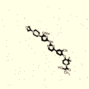 COc1nc(Nc2nccc(-c3ccc(OC4CCN(C(=O)[C@H](C)O)CC4(F)F)c(C#N)c3)n2)ccc1N1CCN(C2COC2)CC1